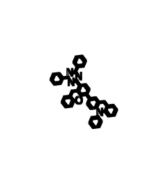 c1ccc(-c2nc(-c3ccccc3)nc(-c3ccc(-c4ccc5c(c4)Cc4ccccc4N5c4ccccc4)c4c3Cc3ccccc3O4)n2)cc1